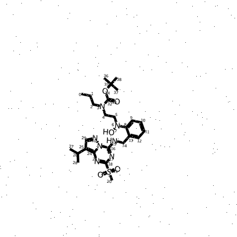 CCCN(CCN(O)c1ccccc1CNc1nc(S(C)(=O)=O)nc2c(C(C)C)cnn12)C(=O)OC(C)(C)C